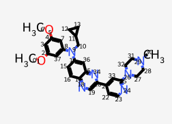 COc1cc(OC)cc(N(CC2CC2)c2ccc3ncc(-c4ccnc(N5CCN(C)CC5)c4)nc3c2)c1